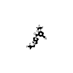 C[C@H](Oc1ccc(C#N)cc1C(=O)N1Cc2cn(CC3CC3(F)F)nc2C1)C(F)(F)F